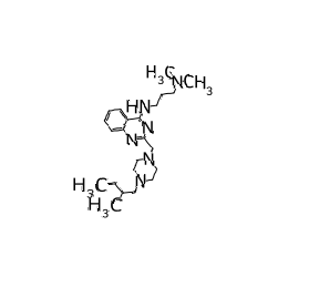 CCC(C)CN1CCN(Cc2nc(NCCCN(C)C)c3ccccc3n2)CC1